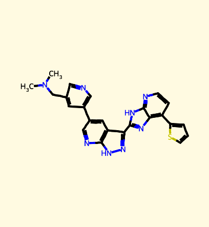 CN(C)Cc1cncc(-c2cnc3[nH]nc(-c4nc5c(-c6cccs6)ccnc5[nH]4)c3c2)c1